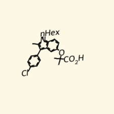 CCCCCCn1c(C)c(-c2ccc(Cl)cc2)c2cc(OC(C)(C)C(=O)O)ccc21